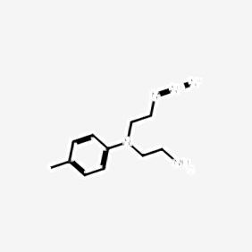 Cc1ccc(N(CCN)CCN=[N+]=[N-])cc1